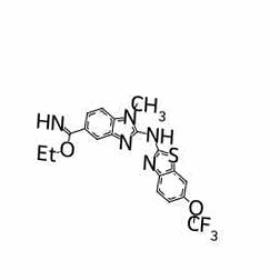 CCOC(=N)c1ccc2c(c1)nc(Nc1nc3ccc(OC(F)(F)F)cc3s1)n2C